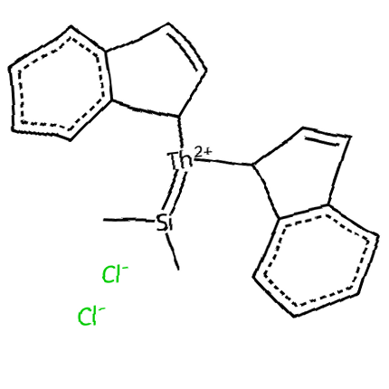 C[Si](C)=[Th+2]([CH]1C=Cc2ccccc21)[CH]1C=Cc2ccccc21.[Cl-].[Cl-]